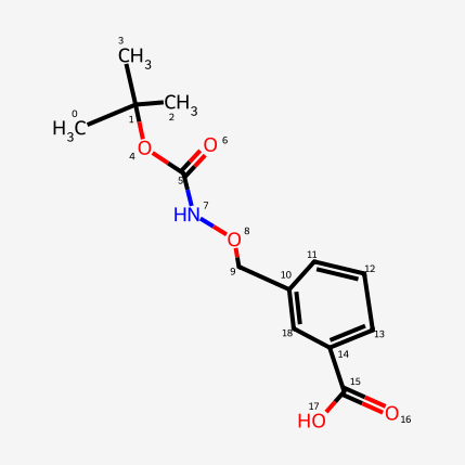 CC(C)(C)OC(=O)NOCc1cccc(C(=O)O)c1